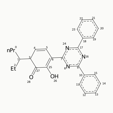 CCCC(CC)C1C=CC(c2nc(-c3ccccc3)nc(-c3ccccc3)n2)=C(O)C1=O